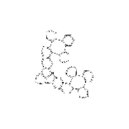 c1ccc2c(c1)-c1ccccc1-c1ccc3cc4c5cccc6c7cc8ccc9c(c8cc7n(c4cc3c1-c1ccccc1-2)c56)-c1ccccc1-c1ccccc1-c1ccccc1-9